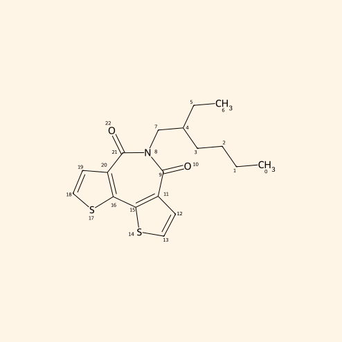 CCCCC(CC)Cn1c(=O)c2ccsc2c2sccc2c1=O